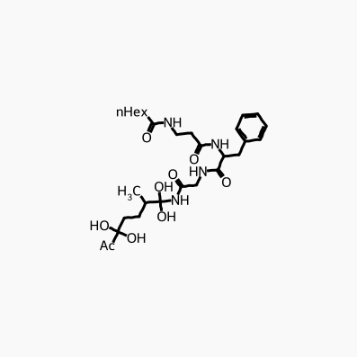 CCCCCCC(=O)NCCC(=O)NC(Cc1ccccc1)C(=O)NCC(=O)NC(O)(O)C(C)CCC(O)(O)C(C)=O